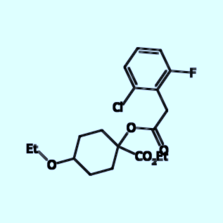 CCOC(=O)C1(OC(=O)Cc2c(F)cccc2Cl)CCC(OCC)CC1